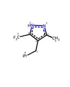 Cc1n[nH]c(C(F)(F)F)c1CC(C)C